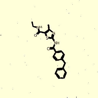 CCNC(=O)c1sc(NC(=O)c2ccc(Cc3ccccc3)cc2)nc1C